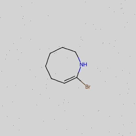 BrC1=CCCCCCN1